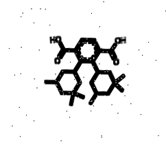 CC1CC(c2c(C(=O)O)ccc(C(=O)O)c2C2CC(C)CC(C)(C)C2)CC(C)(C)C1